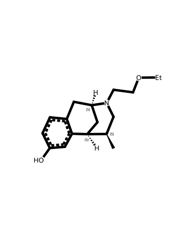 CCOCCN1C[C@@H](C)[C@@H]2C[C@H]1Cc1ccc(O)cc12